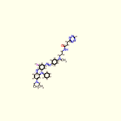 CCN(CC)C1=CC(=N\c2ccccc2)/C(=N\c2ccc(/N=N/c3ccc(N(C)CCCNC(=O)CCc4nncnn4)cc3)cc2I)C=C1